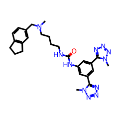 CN(CCCCNC(=O)Nc1cc(-c2nnnn2C)cc(-c2nnnn2C)c1)Cc1ccc2c(c1)CCC2